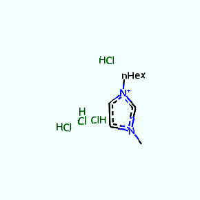 CCCCCC[n+]1ccn(C)c1.Cl.Cl.Cl.Cl